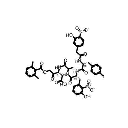 Cc1cccc(C)c1C(=O)OCC(=O)[C@H](CC(=O)O)NC(=O)C(C)NC(=O)[C@@H](Cc1cccc(O)c1[N+](=O)[O-])NC(=O)[C@@H](Cc1ccc(I)cc1)NC(=O)Cc1ccc([N+](=O)[O-])c(O)c1